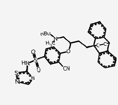 CCCCN(C)CC(CCC12CCC(c3ccccc31)c1ccccc12)Oc1ccc(S(=O)(=O)Nc2ncns2)cc1C#N